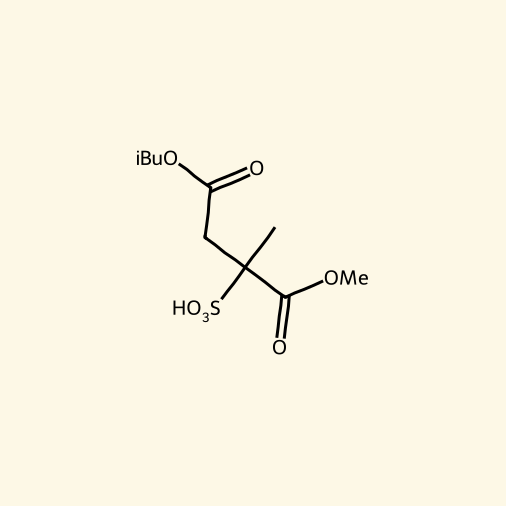 COC(=O)C(C)(CC(=O)OCC(C)C)S(=O)(=O)O